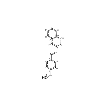 OCc1ccc(C=Cc2ccc3ccccc3n2)cc1